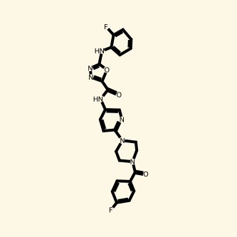 O=C(Nc1ccc(N2CCN(C(=O)c3ccc(F)cc3)CC2)nc1)c1nnc(Nc2ccccc2F)o1